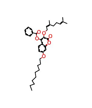 CCCCCCCCCCOc1ccc2c(OC(=O)c3ccccc3)c(OCC=C(C)CCC=C(C)C)c(=O)oc2c1